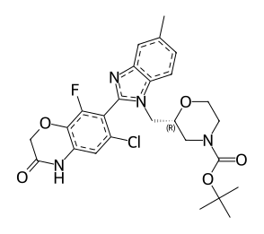 Cc1ccc2c(c1)nc(-c1c(Cl)cc3c(c1F)OCC(=O)N3)n2C[C@H]1CN(C(=O)OC(C)(C)C)CCO1